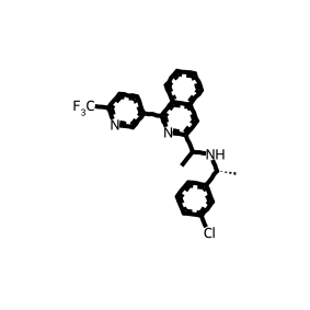 CC(N[C@H](C)c1cccc(Cl)c1)c1cc2ccccc2c(-c2ccc(C(F)(F)F)nc2)n1